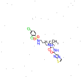 CC(C)C[C@H](NC(=O)c1cn2ccsc2n1)C(=O)NCCCCNS(=O)(=O)c1ccc(Cl)cc1Cl